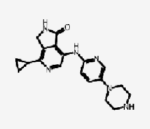 O=C1NCc2c(C3CC3)ncc(Nc3ccc(N4CCNCC4)cn3)c21